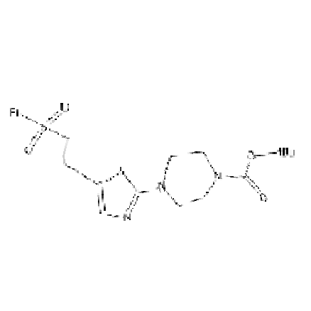 CCS(=O)(=O)CCc1cnc(N2CCN(C(=O)OC(C)(C)C)CC2)s1